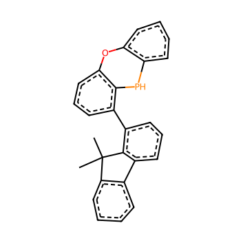 CC1(C)c2ccccc2-c2cccc(-c3cccc4c3Pc3ccccc3O4)c21